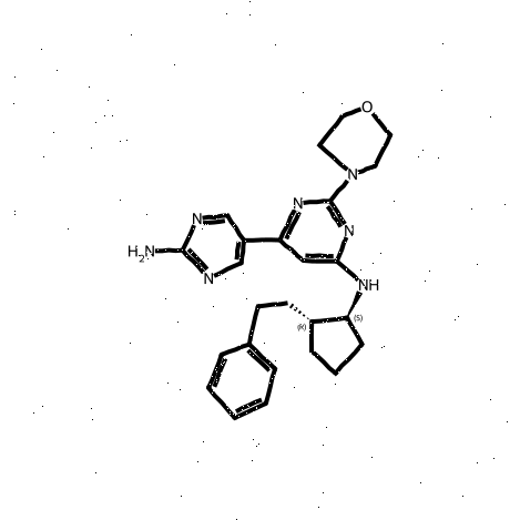 Nc1ncc(-c2cc(N[C@H]3CCC[C@@H]3CCc3ccccc3)nc(N3CCOCC3)n2)cn1